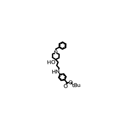 CC(C)(C)OC(=O)c1ccc(NCCCC2(O)CCN(Cc3ccccc3)CC2)cc1